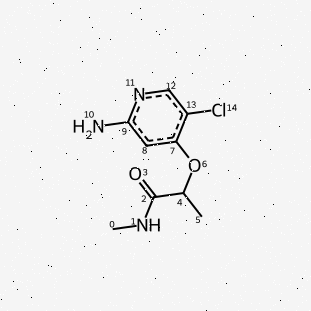 CNC(=O)C(C)Oc1cc(N)ncc1Cl